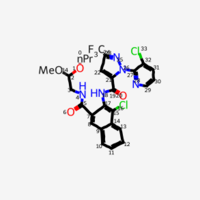 CCCOC(CNC(=O)c1cc2ccccc2c(Cl)c1NC(=O)c1cc(C(F)(F)F)nn1-c1ncccc1Cl)OC